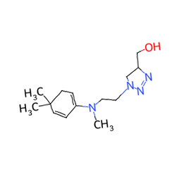 CN(CCN1CC(CO)N=N1)C1=CCC(C)(C)C=C1